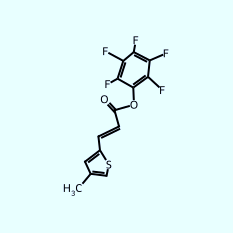 Cc1csc(C=CC(=O)Oc2c(F)c(F)c(F)c(F)c2F)c1